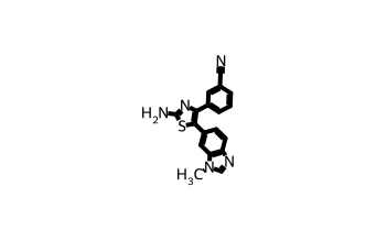 Cn1cnc2ccc(-c3sc(N)nc3-c3cccc(C#N)c3)cc21